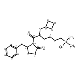 C[Si](C)(C)CCOCC(CC1CCC1)C(=O)N1C(=O)OCC1Cc1ccccc1